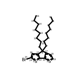 CCCCCCCCC1(CCCCCCCC)c2ccsc2-c2sc(Br)cc21